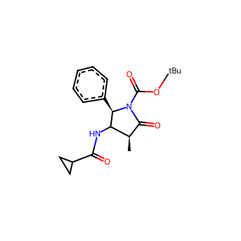 C[C@@H]1C(=O)N(C(=O)OC(C)(C)C)[C@H](c2ccccc2)C1NC(=O)C1CC1